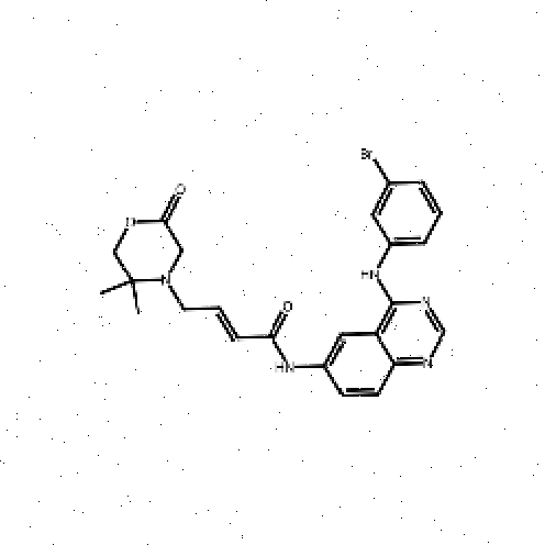 CC1(C)COC(=O)CN1CC=CC(=O)Nc1ccc2ncnc(Nc3cccc(Br)c3)c2c1